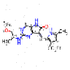 CCCCOC[C@H](C)Nc1ncc2c(n1)/C(=C/c1[nH]c(C)cc1C(=O)OCC)C(=O)N2